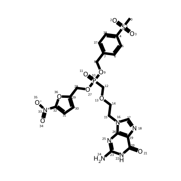 CS(=O)(=O)c1ccc(COP(=O)(COCCn2cnc3c(=O)[nH]c(N)nc32)OCc2ccc([N+](=O)[O-])o2)cc1